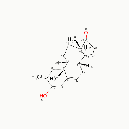 CC1C[C@@]2(C)C(=CC[C@@H]3[C@H]2CC[C@]2(C)C(=O)CC[C@@H]32)CC1O